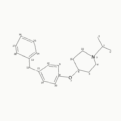 CC(C)N1CCC(Oc2ccc(Cc3ccccc3)cc2)CC1